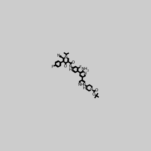 CC(C)n1cc(C(=O)Nc2ccc(-c3cc(/C(C=N)=C/NC4CCN(C(=O)OC(C)(C)C)CC4)cnc3N)c(F)c2)c(=O)c(-c2ccc(F)cc2)c1C#N